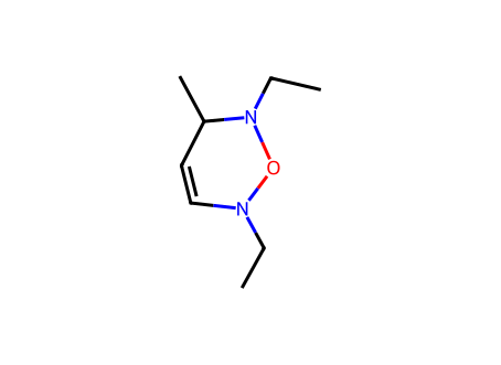 CCN1C=CC(C)N(CC)O1